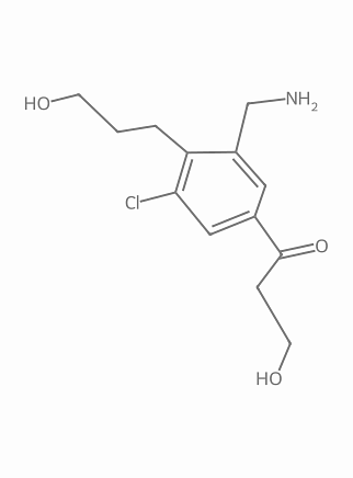 NCc1cc(C(=O)CCO)cc(Cl)c1CCCO